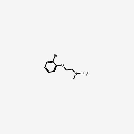 CN(CCOc1ccccc1Br)C(=O)O